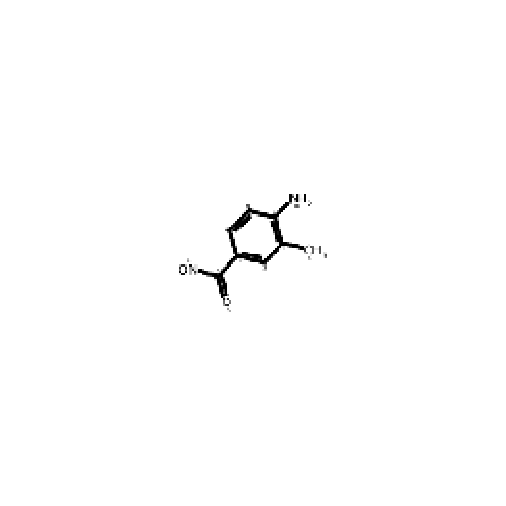 Cc1cc(C(=O)N=O)ccc1N